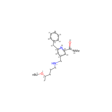 CCCCOC(C)CCCNCc1cc(Cc2ccccc2)nc(C(=O)NC)c1